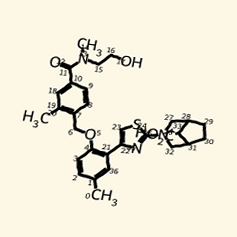 Cc1ccc(OCc2ccc(C(=O)N(C)CCO)cc2C)c(-c2csc(N3CC4CCC(C3)C4C(=O)O)n2)c1